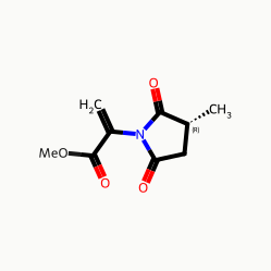 C=C(C(=O)OC)N1C(=O)C[C@@H](C)C1=O